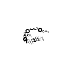 COc1ccc(OCCCCN2CCC(N=c3sc4ccccc4n3C)CC2)cc1.O=C(O)C=CC(=O)O.O=C(O)C=CC(=O)O